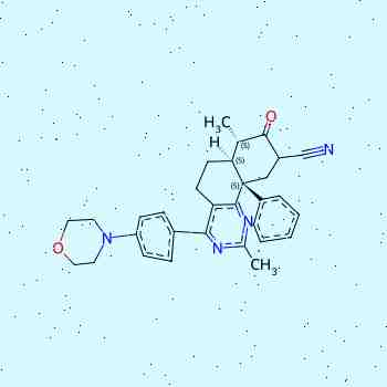 Cc1nc(-c2ccc(N3CCOCC3)cc2)c2c(n1)[C@@]1(c3ccccc3)CC(C#N)C(=O)[C@@H](C)[C@@H]1CC2